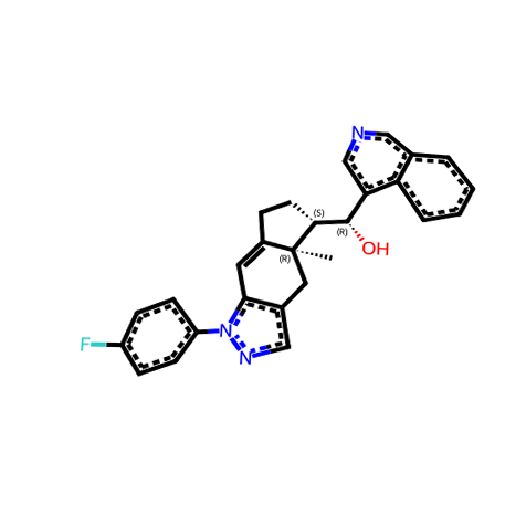 C[C@]12Cc3cnn(-c4ccc(F)cc4)c3C=C1CC[C@@H]2[C@@H](O)c1cncc2ccccc12